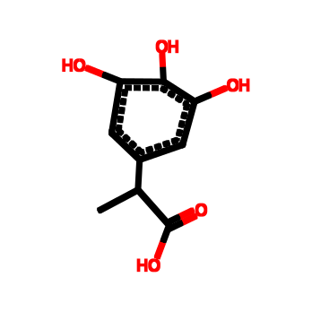 CC(C(=O)O)c1cc(O)c(O)c(O)c1